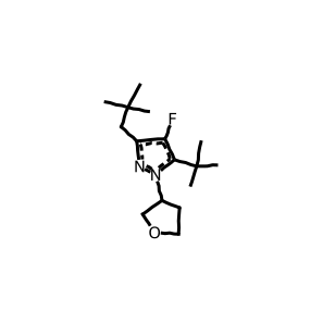 CC(C)(C)Cc1nn(C2CCOC2)c(C(C)(C)C)c1F